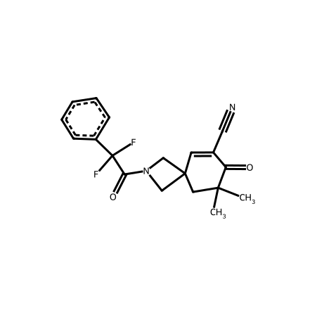 CC1(C)CC2(C=C(C#N)C1=O)CN(C(=O)C(F)(F)c1ccccc1)C2